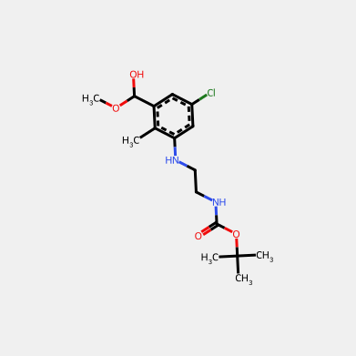 COC(O)c1cc(Cl)cc(NCCNC(=O)OC(C)(C)C)c1C